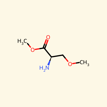 COC[C@@H](N)C(=O)OC